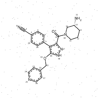 N#Cc1ccc(-c2c(C(=O)N3CCC[C@@H](N)C3)n[nH]c2OCc2ccncc2)cc1